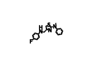 CN(c1ccccc1)c1nc(CNc2ccc(F)cc2)cs1